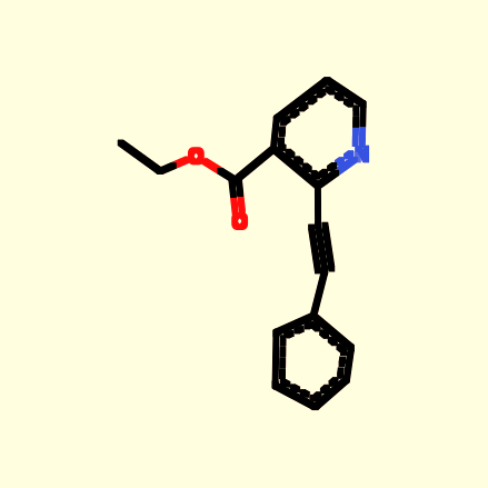 CCOC(=O)c1cccnc1C#Cc1ccccc1